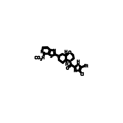 CCc1[nH]c(C(=O)N2CCO[C@H]3CN(c4nc5ccnc(C(=O)O)c5s4)CC[C@H]32)nc1Cl